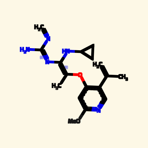 C=N/C(N)=N\C(NC1CC1)=C(/C)Oc1cc(OC)ncc1C(=C)C